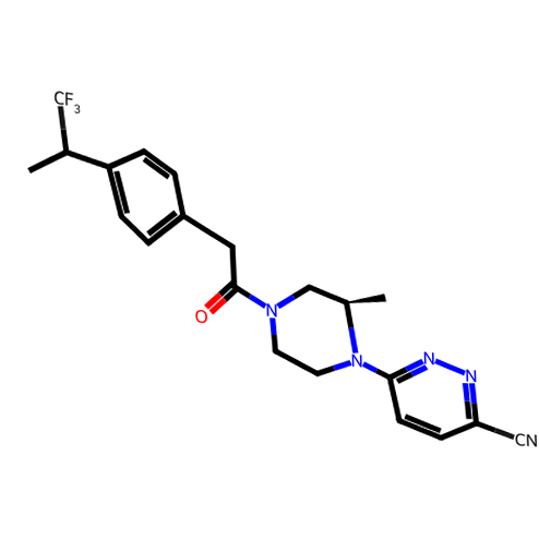 CC(c1ccc(CC(=O)N2CCN(c3ccc(C#N)nn3)[C@H](C)C2)cc1)C(F)(F)F